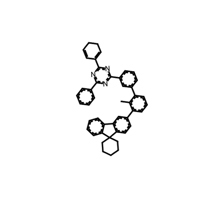 Cc1c(-c2cccc(-c3nc(C4=CCCC=C4)nc(-c4ccccc4)n3)c2)cccc1-c1ccc2c(c1)-c1ccccc1C21CCCCC1